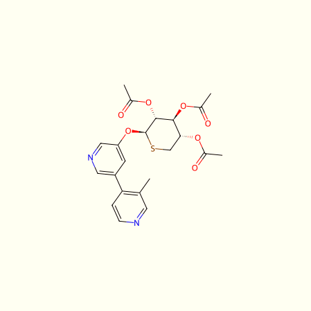 CC(=O)O[C@@H]1[C@@H](OC(C)=O)[C@H](OC(C)=O)CS[C@H]1Oc1cncc(-c2ccncc2C)c1